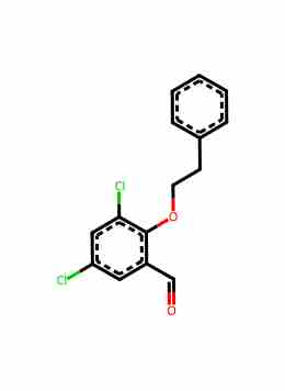 O=Cc1cc(Cl)cc(Cl)c1OCCc1ccccc1